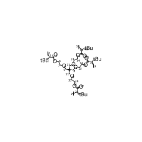 CC(C)(C)C(I)C(=O)OCCOCC(COCCOC(=O)C(I)C(C)(C)C)(COCCOC(=O)C(I)C(C)(C)C)COCCOC(=O)C(I)C(C)(C)C